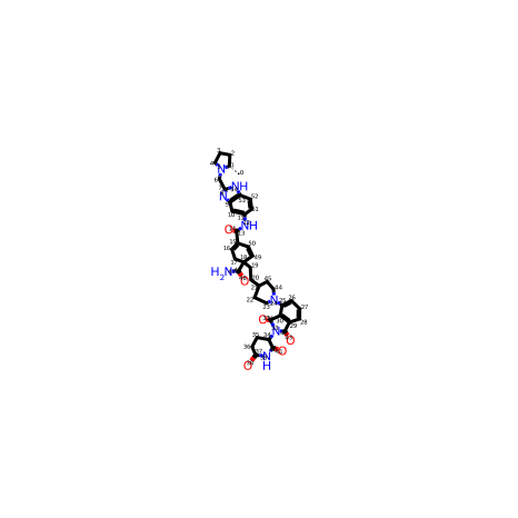 C[C@H]1CCCN1Cc1nc2cc(NC(=O)C3=CCC(CCC4CCN(c5cccc6c5C(=O)N(C5CCC(=O)NC5=O)C6=O)CC4)(C(N)=O)C=C3)ccc2[nH]1